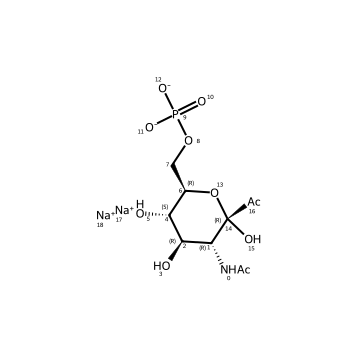 CC(=O)N[C@@H]1[C@@H](O)[C@H](O)[C@@H](COP(=O)([O-])[O-])O[C@@]1(O)C(C)=O.[Na+].[Na+]